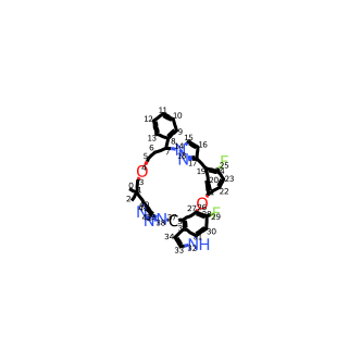 CC1(C)COCCC(c2ccccc2)n2ccc(n2)-c2cc(ccc2F)Oc2c(F)cc3[nH]ccc3c2Cn2cc1nn2